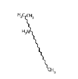 CCCCCC=CCC=CCCCCCCCCCC(N)CCCCCCC(C)C